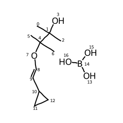 CC(C)(O)C(C)(C)O/C=C/C1CC1.OB(O)O